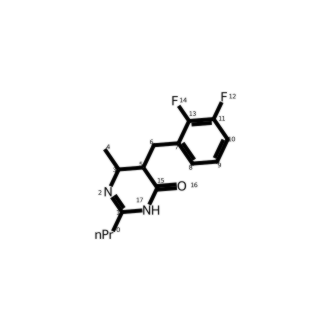 CCCC1=NC(C)C(Cc2cccc(F)c2F)C(=O)N1